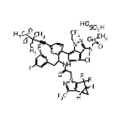 CC(C)(C#Cc1ccc(-c2ccc(Cl)c3c(NS(C)(=O)=O)nn(CC(F)(F)F)c23)c(C(Cc2cc(F)cc(F)c2)NC(=O)Cn2nc(C(F)(F)F)c3c2C(F)(F)[C@@H]2C[C@H]32)n1)S(C)(=O)=O.O=S(=O)(O)O